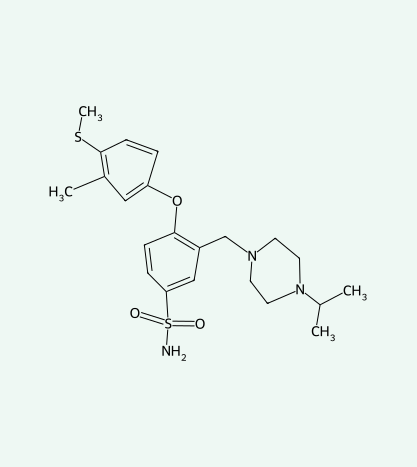 CSc1ccc(Oc2ccc(S(N)(=O)=O)cc2CN2CCN(C(C)C)CC2)cc1C